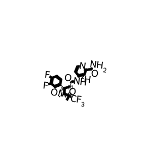 [2H]c1c(NC(=O)[C@@H]2O[C@@](C)(C(F)(F)F)[C@H](C)[C@@H]2c2ccc(F)c(F)c2OC)ccnc1C(N)=O